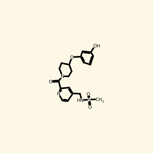 CS(=O)(=O)NCc1ccnc(C(=O)N2CCC(Oc3cccc(O)c3)CC2)c1